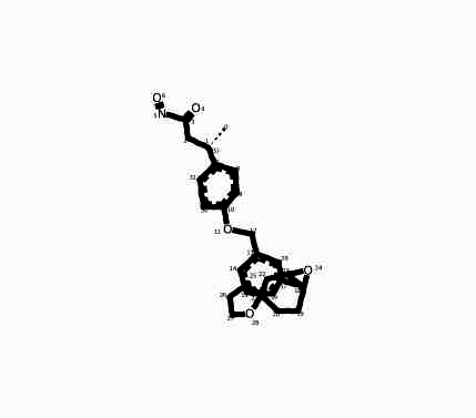 C[C@@H](CC(=O)N=O)c1ccc(OCc2cccc(C34CCC5(CC3O4)OCCO5)c2)cc1